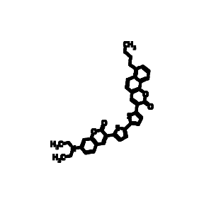 CCCCc1cccc2c1ccc1cc(-c3ccc(-c4ccc(-c5cc6ccc(N(CC)CC)cc6oc5=O)s4)s3)c(=O)oc12